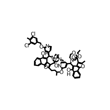 CCOC(=O)c1c(C)oc2c1c(C(c1ccnc(OC(C)CCc3oc4c(c3C(=O)OCC)c(C(c3ccnc(OCc5cc(Cl)c(C)c(Cl)c5)c3)N3CCN(C)CC3)c(O)c3ccccc34)c1)N1CCOCC1)c(O)c1ccccc12